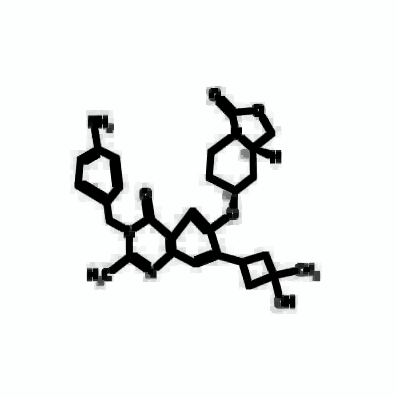 Cc1nc2cc(C3CC(C)(O)C3)c(O[C@H]3CCN4C(=O)OC[C@@H]4C3)cc2c(=O)n1Cc1ccc(N)cc1